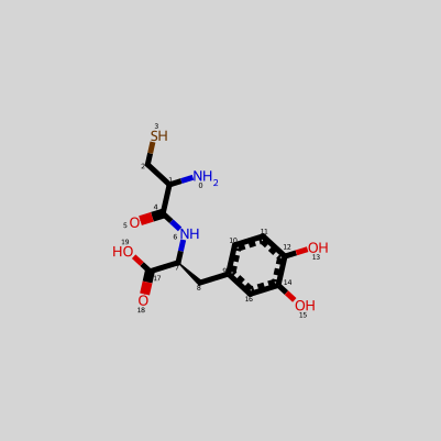 NC(CS)C(=O)N[C@@H](Cc1ccc(O)c(O)c1)C(=O)O